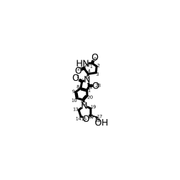 O=C1CCC(N2C(=O)c3ccc(N4CCO[C@H](CO)C4)cc3C2=O)C(=O)N1